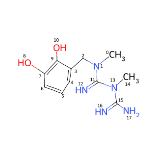 CN(Cc1cccc(O)c1O)C(=N)N(C)C(=N)N